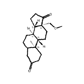 COC[C@]12CC[C@H]3[C@@H](CCC4CC(=O)CC[C@@]43C)[C@@H]1CCC2=O